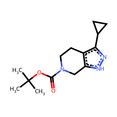 CC(C)(C)OC(=O)N1CCc2c(C3CC3)n[nH]c2C1